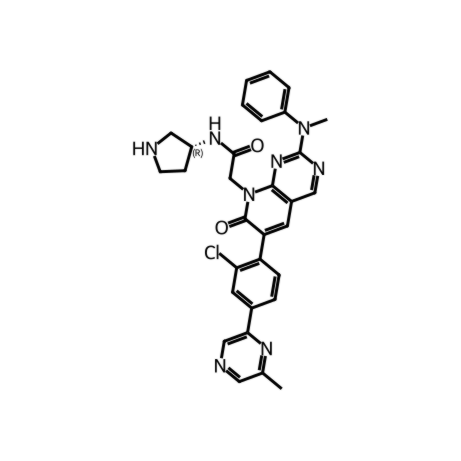 Cc1cncc(-c2ccc(-c3cc4cnc(N(C)c5ccccc5)nc4n(CC(=O)N[C@@H]4CCNC4)c3=O)c(Cl)c2)n1